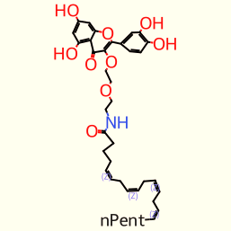 CCCCC/C=C\C/C=C\C/C=C\C/C=C\CCCC(=O)NCCOCCOc1c(-c2ccc(O)c(O)c2)oc2cc(O)cc(O)c2c1=O